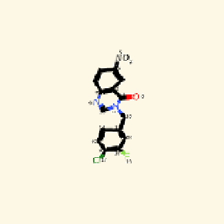 O=c1c2cc([N+](=O)[O-])ccc2ncn1Cc1ccc(Cl)c(F)c1